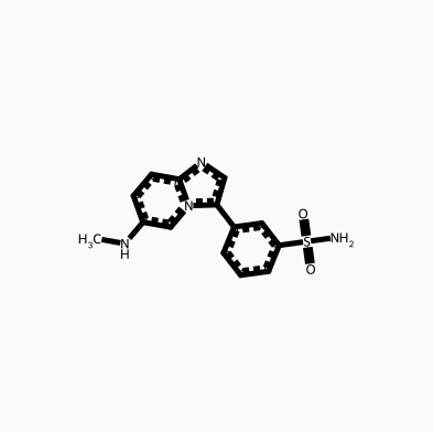 CNc1ccc2ncc(-c3cccc(S(N)(=O)=O)c3)n2c1